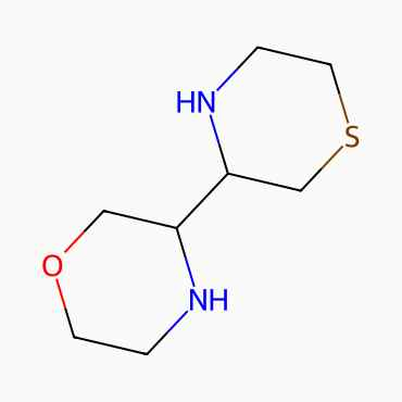 C1COCC(C2CSCCN2)N1